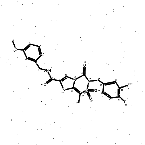 COc1cccc(CNC(=O)C2=CN3C(=O)N(Cc4ccc(F)c(F)c4)S(=O)(=O)C(C)=C3S2)c1